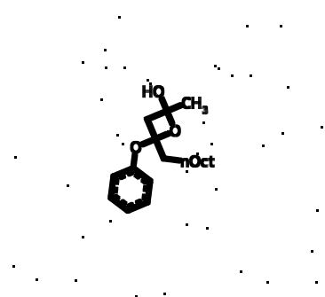 CCCCCCCCCC1(Oc2ccccc2)CC(C)(O)O1